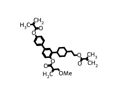 C=C(C)C(=O)OCCC1CCC(c2cc(-c3ccc(OC(=O)C(=C)C)cc3)ccc2OC(=O)C(=C)COC)CC1